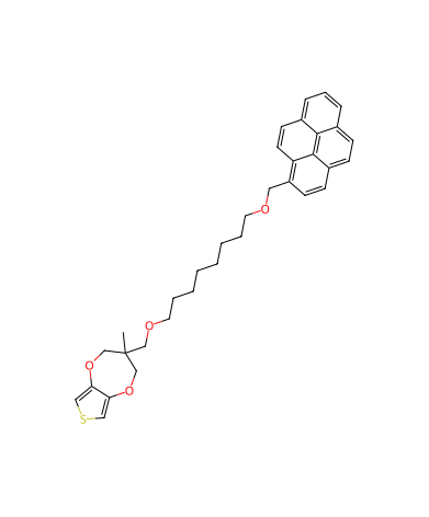 CC1(COCCCCCCCCOCc2ccc3ccc4cccc5ccc2c3c45)COc2cscc2OC1